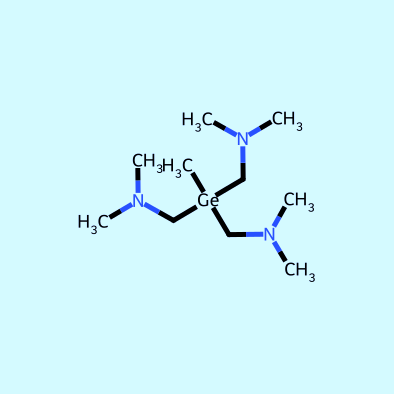 CN(C)[CH2][Ge]([CH3])([CH2]N(C)C)[CH2]N(C)C